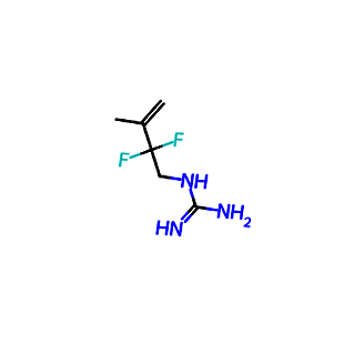 C=C(C)C(F)(F)CNC(=N)N